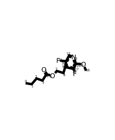 CCCCC(=O)OCCc1c(F)cnc(OC)c1F